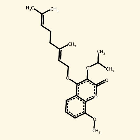 COc1cccc2c(OC/C=C(\C)CCC=C(C)C)c(OC(C)C)c(=O)oc12